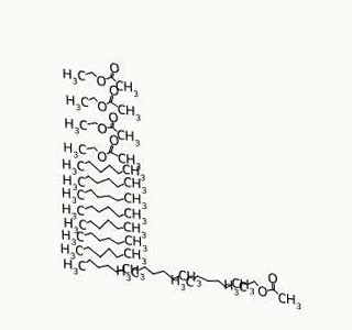 CCCCCC.CCCCCC.CCCCCC.CCCCCC.CCCCCC.CCCCCC.CCCCCC.CCCCCC.CCCCCC.CCCCCC.CCOC(C)=O.CCOC(C)=O.CCOC(C)=O.CCOC(C)=O.CCOC(C)=O